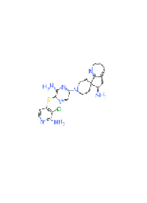 Nc1nc(N2CCC3(CC2)c2ncccc2C[C@H]3N)cnc1Sc1ccnc(N)c1Cl